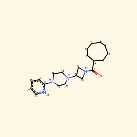 O=C(C1CCCCCCC1)N1CC(N2CCN(c3ccccn3)CC2)C1